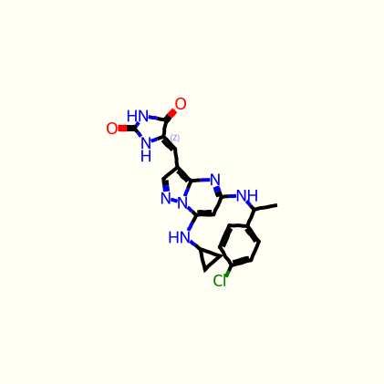 CC(Nc1cc(NC2CC2)n2ncc(/C=C3\NC(=O)NC3=O)c2n1)c1ccc(Cl)cc1